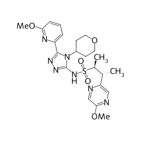 COc1cnc([C@@H](C)[C@H](C)S(=O)(=O)Nc2nnc(-c3cccc(OC)n3)n2C2CCOCC2)cn1